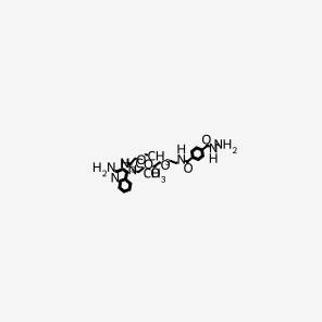 CCOCc1nc2c(N)nc3ccccc3c2n1CC(C)(C)OC(=O)COCCNC(=O)c1ccc(C(=O)NN)cc1